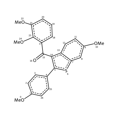 COc1ccc(-c2sc3cc(OC)ccc3c2C(=O)c2cccc(OC)c2OC)cc1